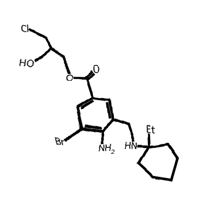 CCC1(NCc2cc(C(=O)OCC(O)CCl)cc(Br)c2N)CCCCC1